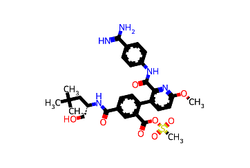 COc1ccc(-c2ccc(C(=O)N[C@H](CO)CC(C)(C)C)cc2C(=O)OS(C)(=O)=O)c(C(=O)Nc2ccc(C(=N)N)cc2)n1